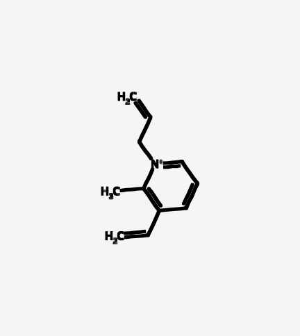 C=CC[n+]1cccc(C=C)c1C